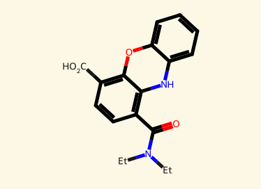 CCN(CC)C(=O)c1ccc(C(=O)O)c2c1Nc1ccccc1O2